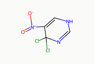 O=[N+]([O-])C1=CNC=NC1(Cl)Cl